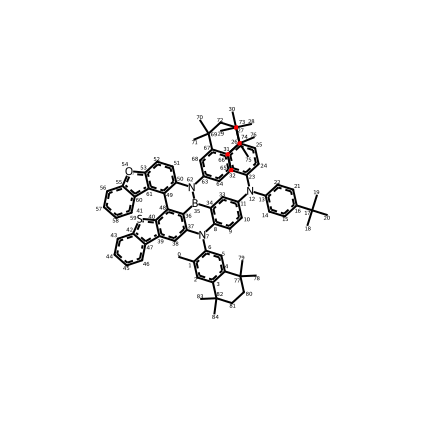 Cc1cc2c(cc1N1c3ccc(N(c4ccc(C(C)(C)C)cc4)c4ccc(C(C)(C)C)cc4)cc3B3c4c1cc1c(sc5ccccc51)c4-c1c(ccc4oc5ccccc5c14)N3c1ccc3c(c1)C(C)(C)CCC3(C)C)C(C)(C)CCC2(C)C